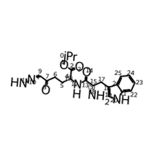 CC(C)OC(=O)[C@H](CCC(=O)C=[N+]=N)NC(=O)[C@@H](N)Cc1c[nH]c2ccccc12